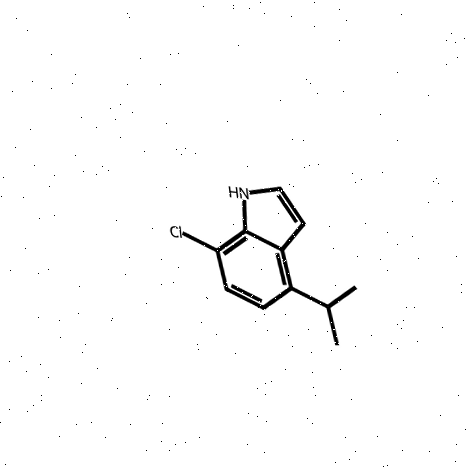 CC(C)c1ccc(Cl)c2[nH]ccc12